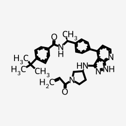 C=CC(=O)N1CC[C@@H](Nc2n[nH]c3nccc(-c4ccc([C@H](C)NC(=O)c5ccc(C(C)(C)C)cc5)cc4)c23)C1